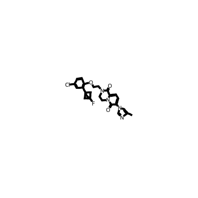 Cc1cn(-c2ccc3n(c2=O)CCN(CCOc2ccc(Cl)cc2C24CC(F)(C2)C4)C3=O)cn1